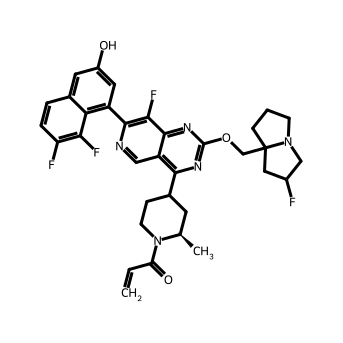 C=CC(=O)N1CCC(c2nc(OCC34CCCN3CC(F)C4)nc3c(F)c(-c4cc(O)cc5ccc(F)c(F)c45)ncc23)C[C@H]1C